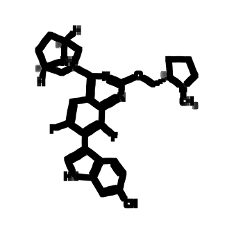 CN1CCC[C@H]1COc1nc(N2C[C@H]3CC[C@@H](C2)N3)c2cc(F)c(-c3c[nH]c4cc(C#N)ccc34)c(F)c2n1